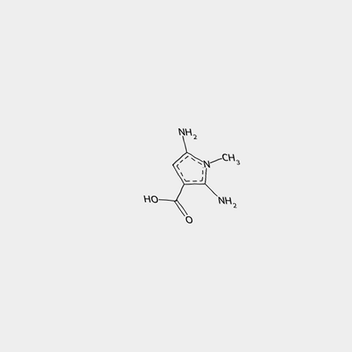 Cn1c(N)cc(C(=O)O)c1N